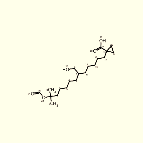 CC(C)(CCCCCC(CO)CCCCCC1(C(=O)O)CC1)OC=O